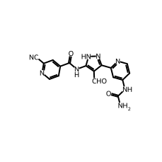 N#Cc1cc(C(=O)Nc2[nH]nc(-c3cc(NC(N)=O)ccn3)c2C=O)ccn1